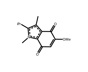 COC1=CC(=O)c2c(c(C)c(C(C)C)n2C)C1=O